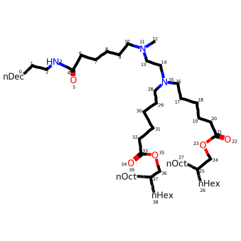 CCCCCCCCCCCCNC(=O)CCCCCN(C)CCN(CCCCCC(=O)OCC(CCCCCC)CCCCCCCC)CCCCCC(=O)OCC(CCCCCC)CCCCCCCC